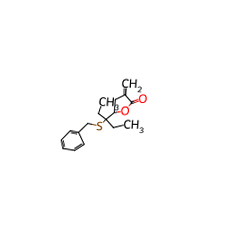 C=C1CC(C(CC)(CC)SCc2ccccc2)OC1=O